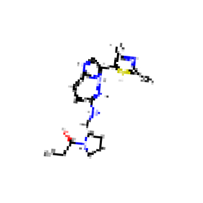 Cc1nc(C)c(-c2cnc3ccc(NC[C@@H]4CCCN4C(=O)CC(C)C)nn23)s1